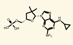 CC1(C)C[C@@H](COP(=O)(O)O)O[C@H]1n1cnc2c(NC3CC3)nc(N)nc21